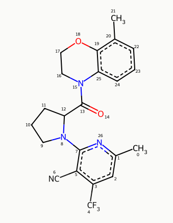 Cc1cc(C(F)(F)F)c(C#N)c(N2CCCC2C(=O)N2CCOc3c(C)cccc32)n1